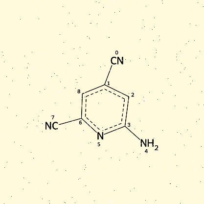 N#Cc1cc(N)nc(C#N)c1